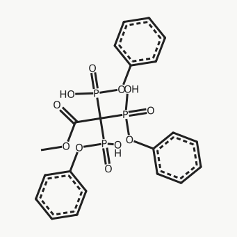 COC(=O)C(P(=O)(O)Oc1ccccc1)(P(=O)(O)Oc1ccccc1)P(=O)(O)Oc1ccccc1